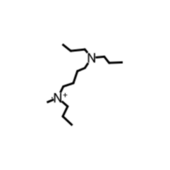 CCCN(CCC)CCCC[N+](C)CCC